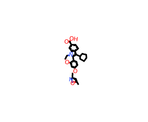 Cc1cc(COc2ccc3c(c2)OCCn2c-3c(C3CCCCC3)c3ccc(C(=O)O)cc32)no1